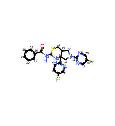 O=C(NC1NC2(c3ccc(F)cn3)CN(c3ncc(F)cn3)CC2CS1)c1ccccc1